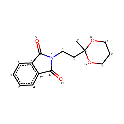 CC1(CCN2C(=O)c3ccccc3C2=O)OCCCO1